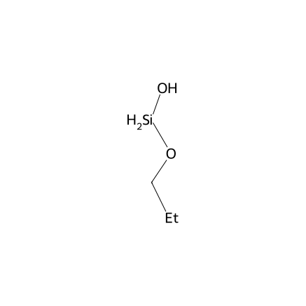 CCCO[SiH2]O